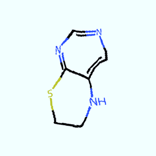 c1ncc2c(n1)SCCN2